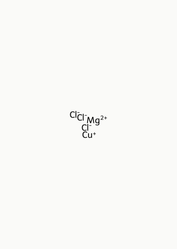 [Cl-].[Cl-].[Cl-].[Cu+].[Mg+2]